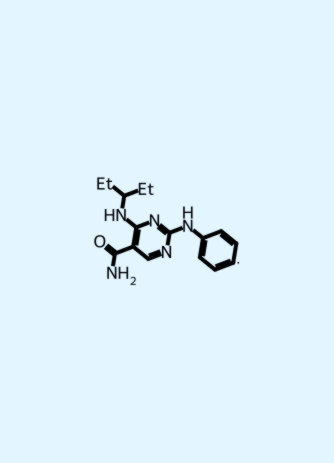 CCC(CC)Nc1nc(Nc2cc[c]cc2)ncc1C(N)=O